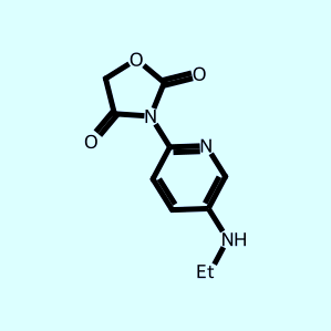 CCNc1ccc(N2C(=O)COC2=O)nc1